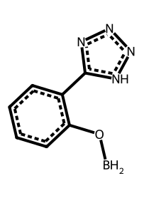 BOc1ccccc1-c1nnn[nH]1